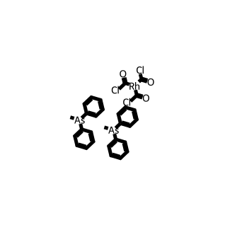 C[As](c1ccccc1)c1ccccc1.C[As](c1ccccc1)c1ccccc1.O=[C](Cl)[Rh]([C](=O)Cl)[C](=O)Cl